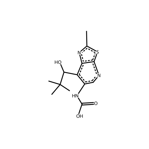 Cc1nc2c(C(O)C(C)(C)C)c(NC(=O)O)cnc2s1